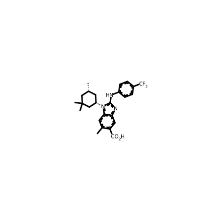 Cc1cc2c(cc1C(=O)O)nc(Nc1ccc(C(F)(F)F)cc1)n2[C@H]1C[C@@H](C)CC(C)(C)C1